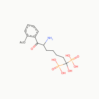 CC(=O)Oc1ccccc1C(=O)C(N)CCCCC(O)(P(=O)(O)O)P(=O)(O)O